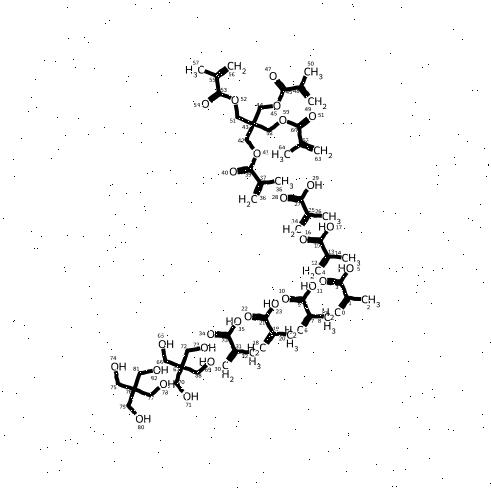 C=C(C)C(=O)O.C=C(C)C(=O)O.C=C(C)C(=O)O.C=C(C)C(=O)O.C=C(C)C(=O)O.C=C(C)C(=O)O.C=C(C)C(=O)OCC(COC(=O)C(=C)C)(COC(=O)C(=C)C)COC(=O)C(=C)C.OCC(CO)(CO)CO.OCC(CO)(CO)CO